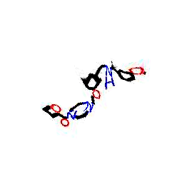 COc1cccc([C@@H](C)NCc2cccc(OCCN3CCN(C(=O)c4ccco4)CC3)c2)c1